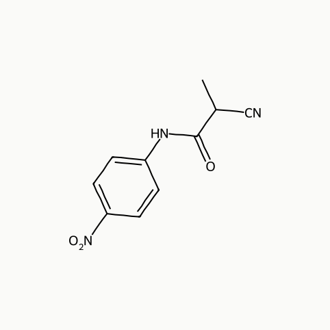 CC(C#N)C(=O)Nc1ccc([N+](=O)[O-])cc1